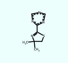 CC1(C)CSC(c2ncncn2)=N1